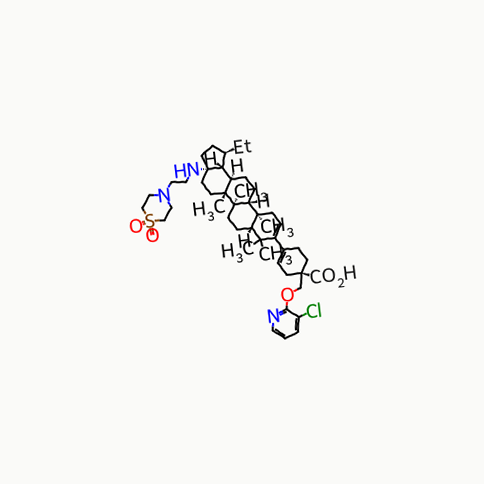 CC[C@@H]1CC[C@]2(NCCN3CCS(=O)(=O)CC3)CC[C@]3(C)[C@H](CC[C@@H]4[C@@]5(C)CC=C(C6=CC[C@](COc7ncccc7Cl)(C(=O)O)CC6)C(C)(C)[C@@H]5CC[C@]43C)[C@@H]12